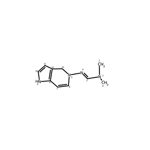 CN(C)C=NN1C=Cc2[nH]ccc2C1